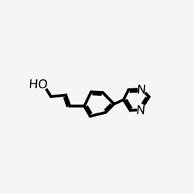 OC/C=C/c1ccc(-c2cncnc2)cc1